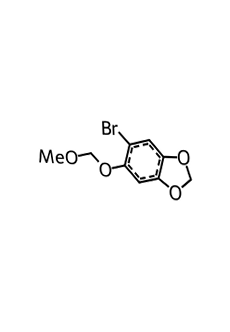 COCOc1cc2c(cc1Br)OCO2